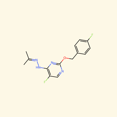 CC(C)=NNc1nc(OCc2ccc(F)cc2)ncc1F